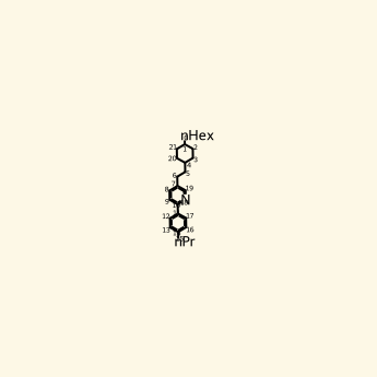 CCCCCCC1CCC(CCc2ccc(-c3ccc(CCC)cc3)nc2)CC1